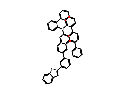 c1ccc(-c2ccc(-c3ccccc3N(c3ccc4cc(-c5cccc(-c6cc7ccccc7o6)c5)ccc4c3)c3ccccc3-c3ccccc3)cc2)cc1